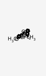 COc1ccc(C[C@H](N)C(=O)N2CC(C)Cc3ccccc32)c(Br)c1